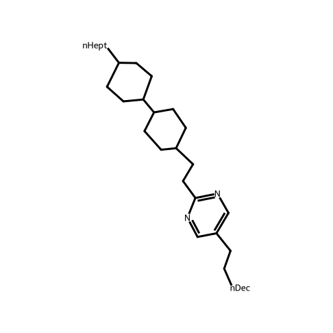 CCCCCCCCCCCCc1cnc(CCC2CCC(C3CCC(CCCCCCC)CC3)CC2)nc1